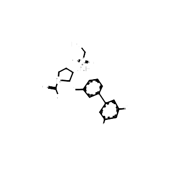 CCS(=O)(=O)N[C@H]1CCN(C(=O)Cl)[C@H]1Cc1cccc(-c2cc(F)cc(F)c2)c1